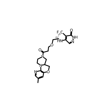 Cc1cnc2c(c1)OCC1CN(C(=O)CCOC[C@H](C)Nc3cn[nH]c(=O)c3C(F)(F)F)CCN21